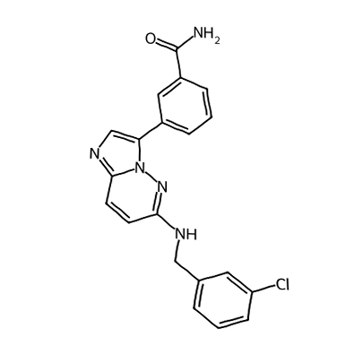 NC(=O)c1cccc(-c2cnc3ccc(NCc4cccc(Cl)c4)nn23)c1